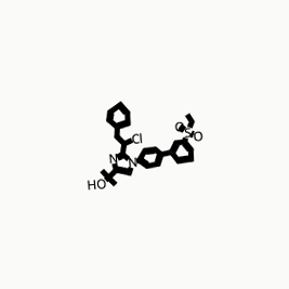 CCS(=O)(=O)c1cccc(-c2ccc(-n3cc(C(C)(C)O)nc3C(Cl)Cc3ccccc3)cc2)c1